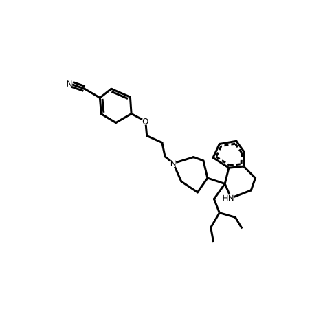 CCC(CC)CC1(C2CCN(CCCOC3C=CC(C#N)=CC3)CC2)NCCc2ccccc21